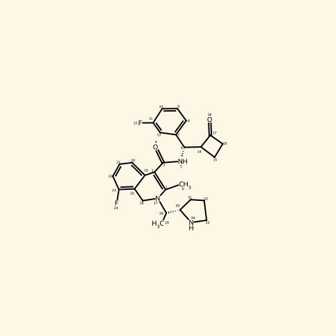 CC1=C(C(=O)N[C@H](c2cccc(F)c2)C2CCC2=O)c2cccc(F)c2CN1C(C)[C@@H]1CCCN1